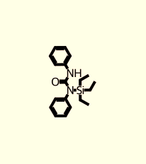 CC[Si](CC)(CC)N(C(=O)Nc1ccccc1)c1ccccc1